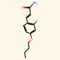 CCCCOc1ccc(/C=C/C(N)=O)c(F)c1